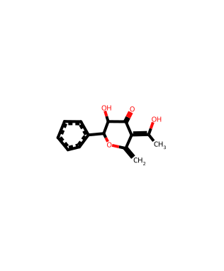 C=C1OC(c2ccccc2)C(O)C(=O)/C1=C(/C)O